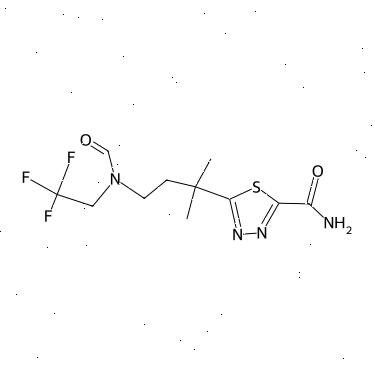 CC(C)(CCN(C=O)CC(F)(F)F)c1nnc(C(N)=O)s1